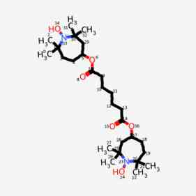 CC1(C)CCC(OC(=O)CCCCCC(=O)OC2CCC(C)(C)N(O)C(C)(C)C2)CC(C)(C)N1O